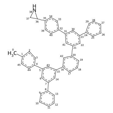 Cc1ccc(-c2cc(-c3ccccc3)cc(-c3cccc(-c4cc(-c5ccccc5)cc(-c5ccc(C6CN6)cc5)c4)c3)c2)cc1